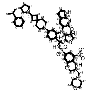 CC(C)c1ccccc1[C@@H]1CCCN1C1CC2(CCN(c3ccc(C(=O)NS(=O)(=O)c4cc5c(c([N+](=O)[O-])c4)N[C@@H](CN4CCOCC4)CO5)c(N4c5cc6cc[nH]c6nc5O[C@@H]5COC[C@H]54)c3)CC2)C1